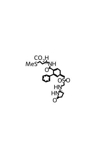 CSCC[C@H](NC(=O)C1=CCC(=CS(=O)(=O)CN[C@H]2CCC(=O)N2)C=C1c1ccccc1)C(=O)O